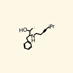 [CH2]C(O)C(Cc1ccccc1)NCCC#CC(C)C